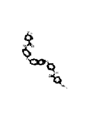 Nc1ccc(C(=O)Nc2ccc(Oc3ccc4c(c3)C3CCC4C3Oc3ccc(NC(=O)c4ccc(N)cc4)cc3)cc2)cc1